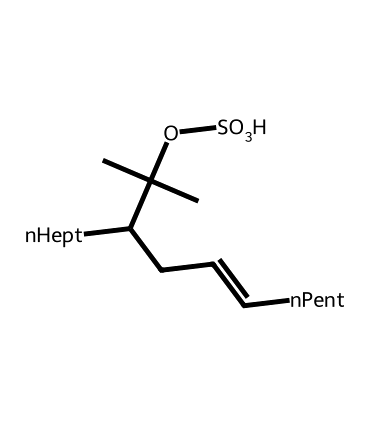 CCCCCC=CCC(CCCCCCC)C(C)(C)OS(=O)(=O)O